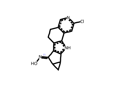 O/N=C1/c2c([nH]c3c2CCc2cnc(Cl)cc2-3)C2CC12